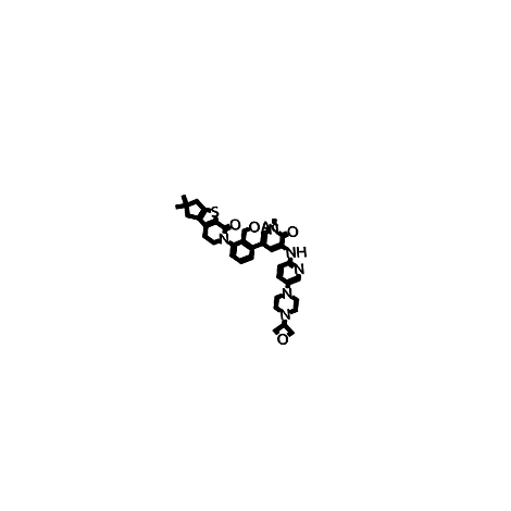 CC(=O)OCc1c(-c2cc(Nc3ccc(N4CCN(C5COC5)CC4)cn3)c(=O)n(C)c2)cccc1N1CCc2c(sc3c2CC(C)(C)C3)C1=O